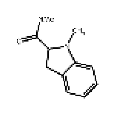 CNC(=O)C1Cc2ccccc2N1C